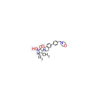 CC(C)C(C(=O)NO)N1CCc2cc(-c3ccc(CN4CCOCC4)cc3)ccc2C1=O